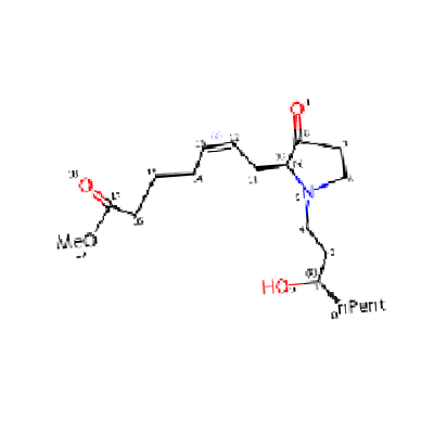 CCCCC[C@@H](O)CCN1CCC(=O)[C@@H]1C/C=C\CCCC(=O)OC